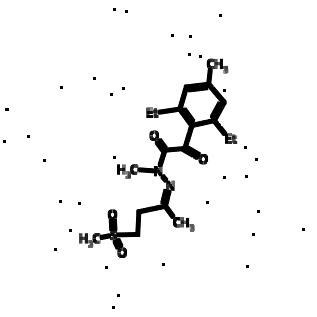 CCc1cc(C)cc(CC)c1C(=O)C(=O)N(C)/N=C(/C)CCS(C)(=O)=O